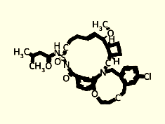 CO[C@H]1/C=C/CCC[S@@](=O)(NC(=O)CC(C)C)=NC(=O)c2ccc3c(c2)N(Cc2ccc(Cl)cc2CCCCO3)C[C@@H]2CC[C@H]21